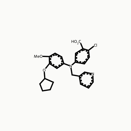 COc1ccc(N(Cc2cccnc2)c2ccc(Cl)c(C(=O)O)c2)cc1OC1CCCC1